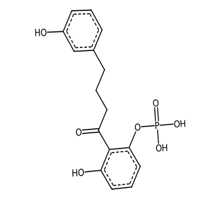 O=C(CCCc1cccc(O)c1)c1c(O)cccc1OP(=O)(O)O